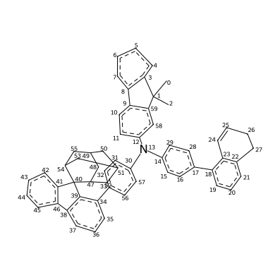 CC1(C)c2ccccc2-c2ccc(N(c3ccc(-c4cccc5c4C=CCC5)cc3)c3ccc(-c4cccc5c4C4(c6ccccc6-5)C5CC6CC(C5)CC4C6)cc3)cc21